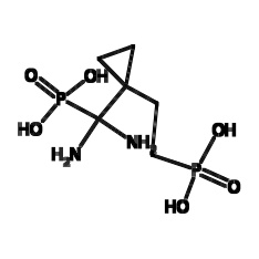 NC(N)(C1(CCP(=O)(O)O)CC1)P(=O)(O)O